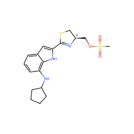 CS(=O)(=O)OC[C@@H]1CSC(c2cc3cccc(NC4CCCC4)c3[nH]2)=N1